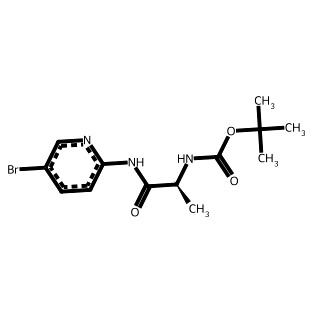 C[C@H](NC(=O)OC(C)(C)C)C(=O)Nc1ccc(Br)cn1